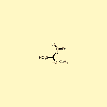 CCC(O)S(=O)(=O)O.CCOCC.[CaH2]